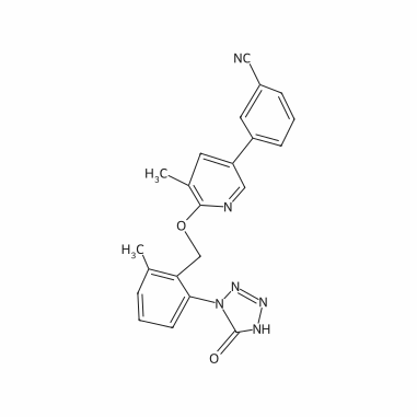 Cc1cc(-c2cccc(C#N)c2)cnc1OCc1c(C)cccc1-n1nn[nH]c1=O